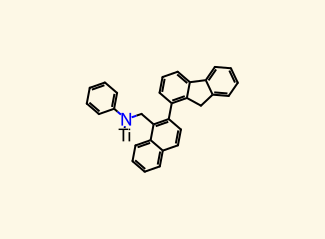 [Ti][N](Cc1c(-c2cccc3c2Cc2ccccc2-3)ccc2ccccc12)c1ccccc1